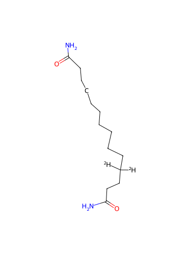 [2H]C([2H])(CCCCCCCCCC(N)=O)CCC(N)=O